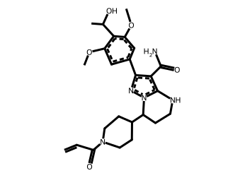 C=CC(=O)N1CCC(C2CCNc3c(C(N)=O)c(-c4cc(OC)c(C(C)O)c(OC)c4)nn32)CC1